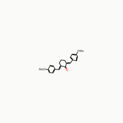 COc1ccc(/C=C2\CCC/C(=C\c3ccc(OC)cc3)C2=O)cc1